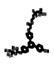 CC(C)(C)OC(=O)Oc1ccc(-c2cc(-c3ccc(O)cc3)cc(-c3ccc(OCC(=O)OCCCC(F)(F)CS(=O)(=O)O)cc3)c2)cc1